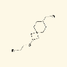 CC(C)CCON1CC2(CCN(CC(C)C)CC2)C1